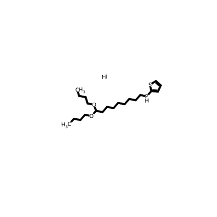 CCCCOC(CCCCCCCCPc1cccs1)OCCCC.I